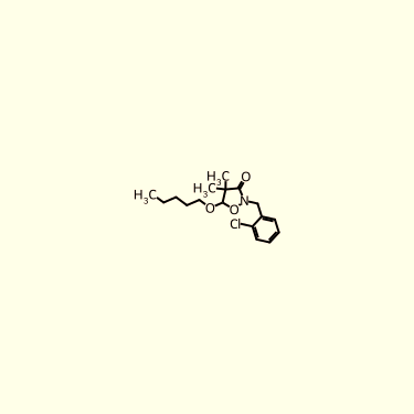 CCCCCOC1ON(Cc2ccccc2Cl)C(=O)C1(C)C